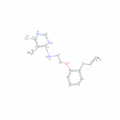 C=CCc1ccccc1OCCNc1ncnc(Cl)c1C